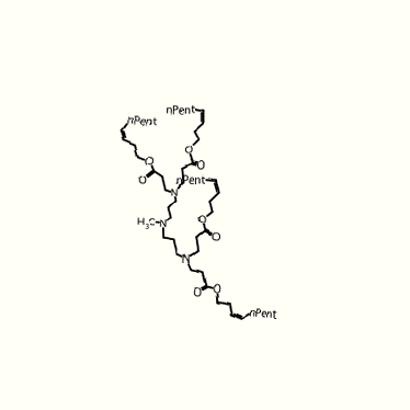 CCCCC/C=C\CCOC(=O)CCN(CCCN(C)CCCN(CCC(=O)OCC/C=C\CCCCC)CCC(=O)OCC/C=C\CCCCC)CCC(=O)OCC/C=C\CCCCC